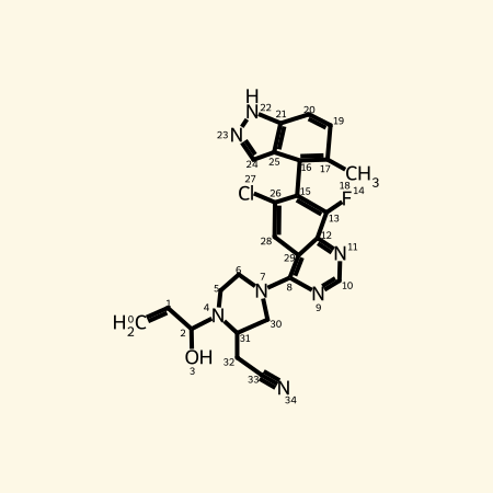 C=CC(O)N1CCN(c2ncnc3c(F)c(-c4c(C)ccc5[nH]ncc45)c(Cl)cc23)CC1CC#N